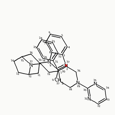 Cc1nc2ccccc2n1C1CC2CCC(C1)N2CCC1(c2ccccc2)CCN(c2ncccn2)CC1